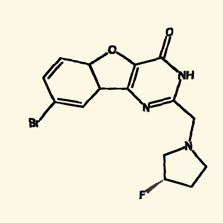 O=c1[nH]c(CN2CC[C@H](F)C2)nc2c1OC1C=CC(Br)=CC21